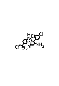 CCC(Nc1ccc(C(=O)CCl)cc1)c1nc(N)cc(N)c1-c1ccc(Cl)cc1